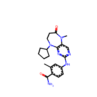 Cc1cc(Nc2ncc3c(n2)N(C2CCCC2)CCC(=O)N3C)ccc1C(N)=O